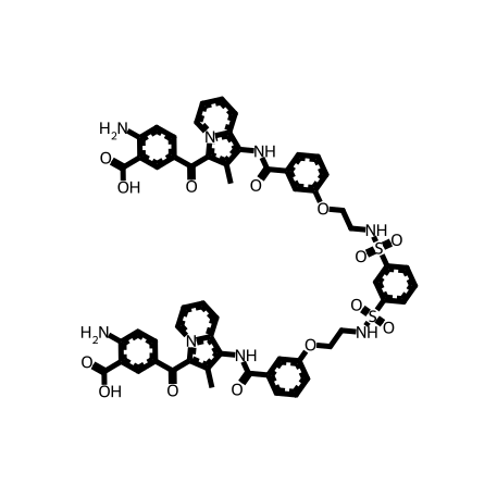 Cc1c(NC(=O)c2cccc(OCCNS(=O)(=O)c3cccc(S(=O)(=O)NCCOc4cccc(C(=O)Nc5c(C)c(C(=O)c6ccc(N)c(C(=O)O)c6)n6ccccc56)c4)c3)c2)c2ccccn2c1C(=O)c1ccc(N)c(C(=O)O)c1